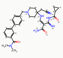 CN(C)C(=O)c1cccc(-c2ccc(CN3CCC(CC#N)(N/C=C(\C(=N)NC(=O)C4CC4)C(N)=O)CC3)cc2)c1